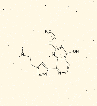 CN(C)CCn1cnc(-c2nccc3c(O)nc(OCC(F)(F)F)nc23)c1